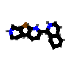 c1ccc2c(-c3ccc4c(n3)sc3cnccc34)nccc2c1